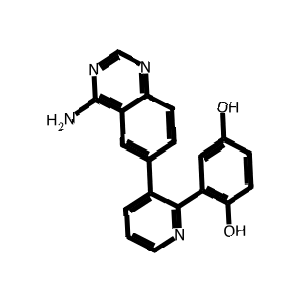 Nc1ncnc2ccc(-c3cccnc3-c3cc(O)ccc3O)cc12